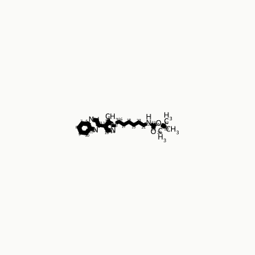 Cc1c(-c2cnc3ccccc3n2)cnn1CCCCCCNC(=O)OC(C)(C)C